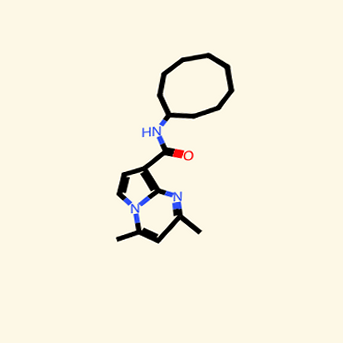 Cc1cc(C)n2ccc(C(=O)NC3CCCCCCCC3)c2n1